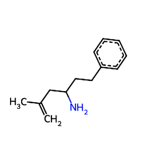 C=C(C)CC(N)CCc1ccccc1